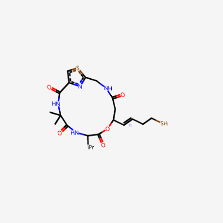 CC(C)C1NC(=O)C(C)(C)NC(=O)c2csc(n2)CNC(=O)CC(/C=C/CCS)OC1=O